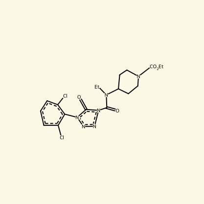 CCOC(=O)N1CCC(N(CC)C(=O)n2nnn(-c3c(Cl)cccc3Cl)c2=O)CC1